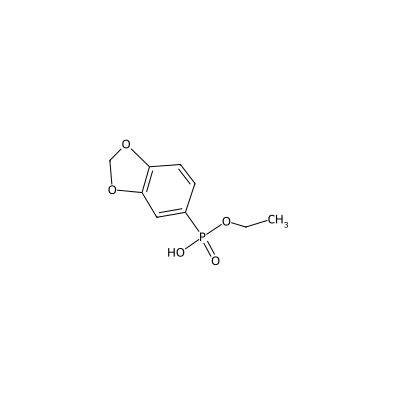 CCOP(=O)(O)c1ccc2c(c1)OCO2